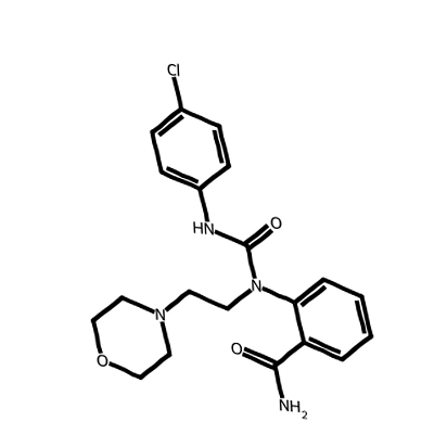 NC(=O)c1ccccc1N(CCN1CCOCC1)C(=O)Nc1ccc(Cl)cc1